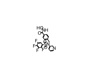 O=C(NO)c1ccc(CN(c2cccnc2)S(=O)(=O)c2cc(F)c(F)c(F)c2F)cc1